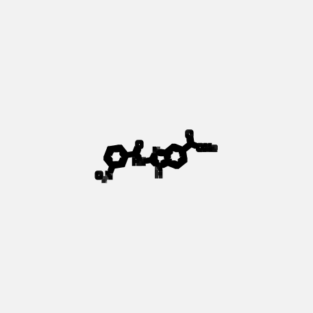 COC(=O)c1ccc2[nH]c(NC(=O)c3cccc([N+](=O)[O-])c3)nc2c1